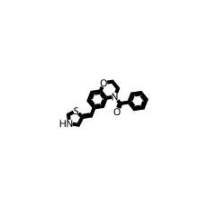 O=C(c1ccccc1)N1CCOc2ccc(C=C3CNCS3)cc21